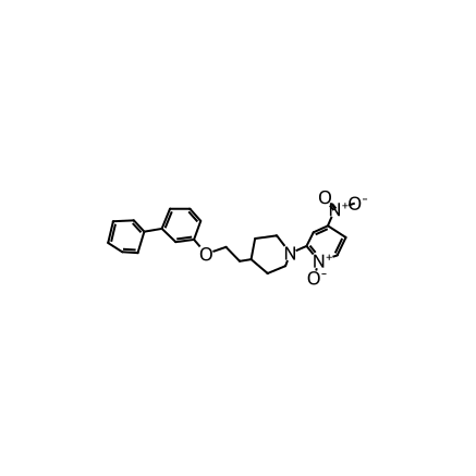 O=[N+]([O-])c1cc[n+]([O-])c(N2CCC(CCOc3cccc(-c4ccccc4)c3)CC2)c1